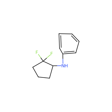 FC1(F)CCCC1Nc1ccccc1